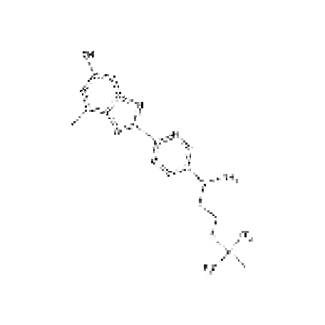 Cc1cc(C#N)cc2nc(-c3ccc(N(N)CCOC(C)(C(F)(F)F)C(F)(F)F)cn3)oc12